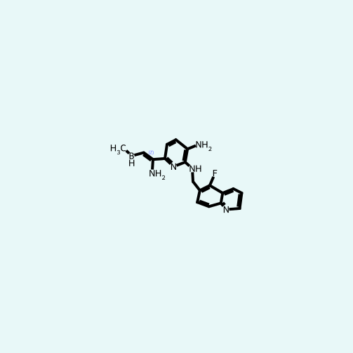 CB/C=C(\N)c1ccc(N)c(NCc2ccc3ncccc3c2F)n1